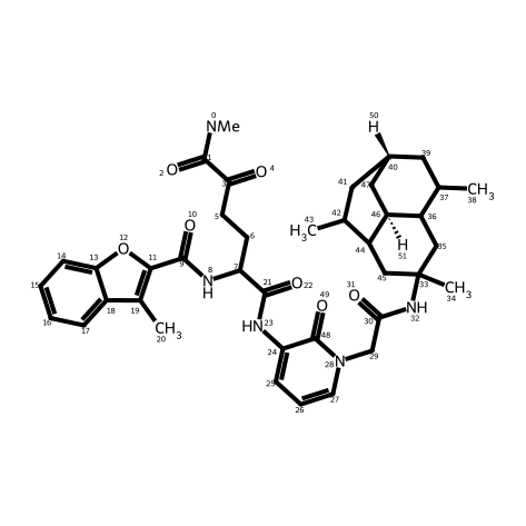 CNC(=O)C(=O)CCC(NC(=O)c1oc2ccccc2c1C)C(=O)Nc1cccn(CC(=O)NC2(C)CC3C(C)C[C@H]4CC(C)C(C2)[C@H]3C4)c1=O